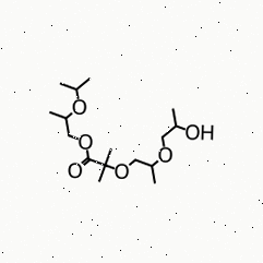 CC(O)COC(C)COC(C)(C)C(=O)OCC(C)OC(C)C